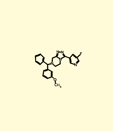 COc1cccc(C(c2ccccc2)N2CCn3c(nnc3-c3cncc(F)c3)C2)c1